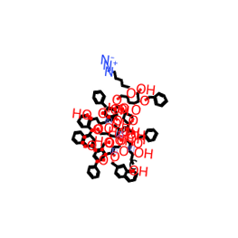 [N-]=[N+]=NCCCCCOC(O)C(OCc1ccccc1)C(OC1OC([C@H](O)CO)C(OC(O)/C(OCc2ccccc2)=C(\OC(O)/C(O)=C(/OC(O)/C(OCc2ccccc2)=C(\OC(O)/C(O)=C(\OCc2ccc3ccccc3c2)C(CCOCc2ccccc2)OCc2ccccc2)C(O)CCO)C(CCOCc2ccccc2)OCc2ccccc2)C(CCO)OCc2ccccc2)C1O)C1CCOC(c2ccccc2)O1